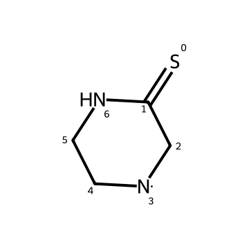 S=C1C[N]CCN1